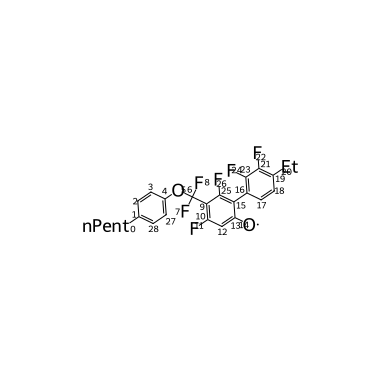 CCCCCc1ccc(OC(F)(F)c2c(F)cc([O])c(-c3ccc(CC)c(F)c3F)c2F)cc1